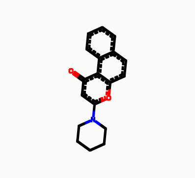 O=c1cc(N2CCCCC2)oc2ccc3ccccc3c12